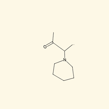 [CH2]C(C(C)=O)N1CCCCC1